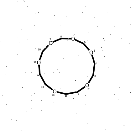 C1COCCOCOCOCOCCO1